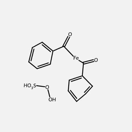 O=S(=O)(O)OO.O=[C]([Fe][C](=O)c1ccccc1)c1ccccc1